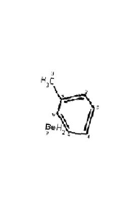 Cc1ccccc1.[BeH2]